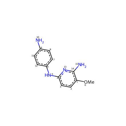 COc1ccc(Nc2ccc(N)cc2)nc1N